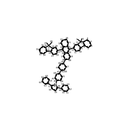 CC1(C)c2ccccc2-c2ccc(-c3c4ccccc4c(-c4ccc5c(c4)C(C)(C)c4ccccc4-5)c4cc(-c5ccc(-c6ccc(-n7c(-c8ccccc8)ccc7-c7ccccc7)cc6)cc5)ccc34)cc21